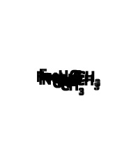 Cn1c2c(c3ccc(-n4ccc(-c5ccc(C(F)(F)F)nc5)cc4=O)nc31)CN(C(=O)OC(C)(C)C)CC2